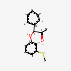 CSc1[c]ccc(OC(C(C)=O)c2ccccc2)c1